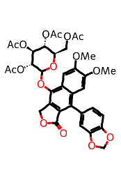 COc1cc2c(OC3O[C@H](COC(C)=O)[C@@H](OC(C)=O)[C@H](OC(C)=O)[C@H]3OC(C)=O)c3c(c(-c4ccc5c(c4)OCO5)c2cc1OC)C(=O)OC3